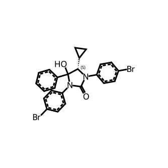 O=C1N(c2ccc(Br)cc2)[C@@H](C2CC2)C(O)(c2ccccc2)N1c1ccc(Br)cc1